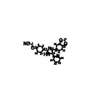 N#CCOc1ccc(-c2nc(-c3ccc4c(c3)OCO4)c(-c3ccccn3)[nH]2)cc1